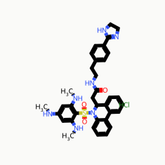 CNc1cc(NC)c(S(=O)(=O)N2c3ccccc3-c3ccccc3C2CC(=O)NCCc2ccc(C3=NCCN3)cc2)c(NC)c1.Cl